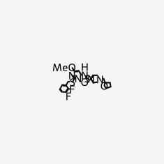 COc1cc(N[S+]([O-])N2CCN(CC3CCCO3)CC2)nc(SCc2cccc(F)c2F)n1